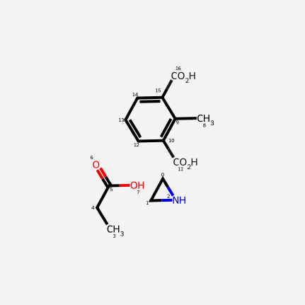 C1CN1.CCC(=O)O.Cc1c(C(=O)O)cccc1C(=O)O